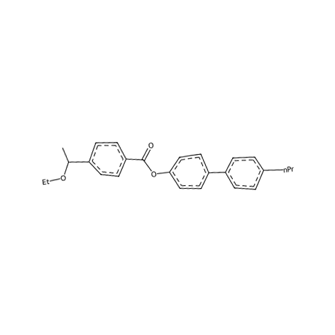 CCCc1ccc(-c2ccc(OC(=O)c3ccc(C(C)OCC)cc3)cc2)cc1